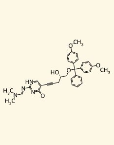 COc1ccc(C(OC[C@@H](O)CC#Cc2c[nH]c(/N=C/N(C)C)nc2=O)(c2ccccc2)c2ccc(OC)cc2)cc1